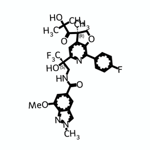 COc1cc(C(=O)NC[C@](O)(c2cc3c(c(-c4ccc(F)cc4)n2)OC[C@]3(C)C(=O)C(C)(C)O)C(F)(F)F)cc2cn(C)nc12